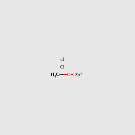 CO.[Cl-].[Cl-].[Zn+2]